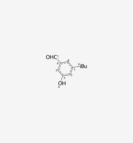 CCC(C)c1cc(O)cc(C=O)c1